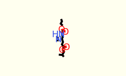 CCCCOC(=O)NCC(CCC(=O)OCC(C)C)N(C)C